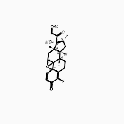 CC(=O)OCC(=O)[C@@]1(O)[C@H](C)C[C@H]2[C@@H]3CCC4=C(F)C(=O)C=C[C@]4(C)C34OC4C[C@@]21C